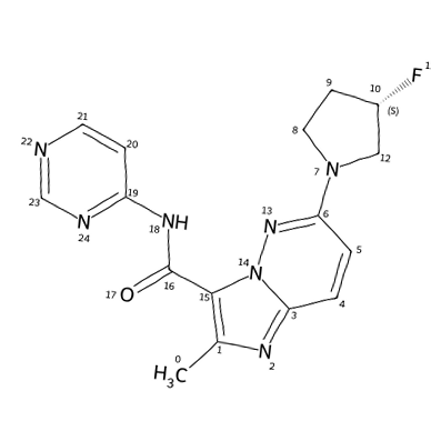 Cc1nc2ccc(N3CC[C@H](F)C3)nn2c1C(=O)Nc1ccncn1